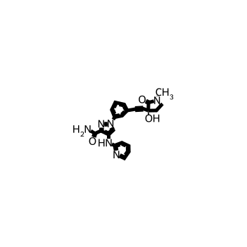 CN1CC[C@@](O)(C#Cc2cccc(-n3cc(Nc4ccccn4)c(C(N)=O)n3)c2)C1=O